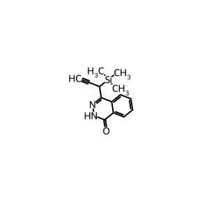 C#CC(c1n[nH]c(=O)c2ccccc12)[Si](C)(C)C